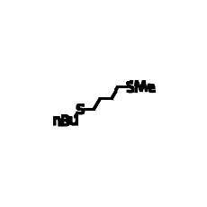 [CH2]CCCSCCCCSC